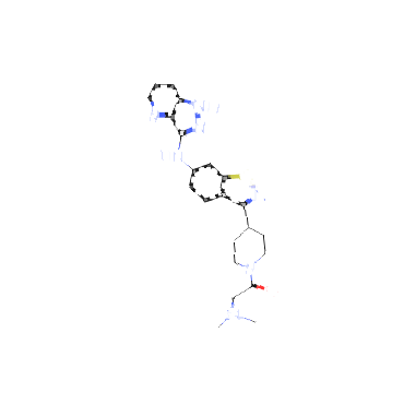 CN(C)CC(=O)N1CCC(c2nsc3cc(Nc4n[nH]c5cccnc45)ccc23)CC1